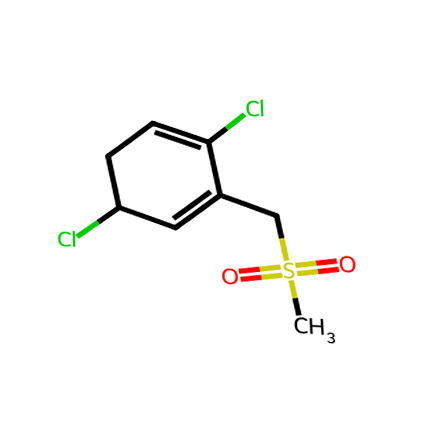 CS(=O)(=O)CC1=CC(Cl)CC=C1Cl